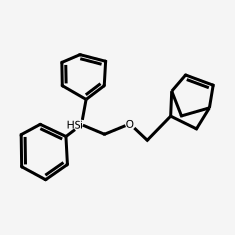 C1=CC2CC1CC2COC[SiH](c1ccccc1)c1ccccc1